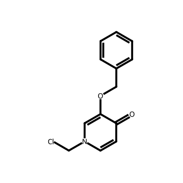 O=c1ccn(CCl)cc1OCc1ccccc1